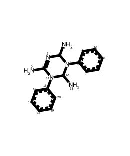 NC1=NC(N)N(c2ccccc2)C(N)N1c1ccccc1